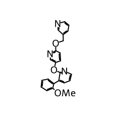 COc1ccccc1-c1cccnc1Oc1ccc(OCc2cccnc2)nc1